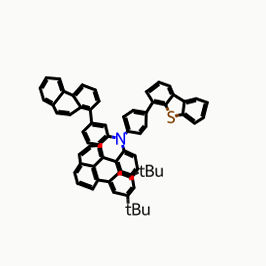 CC(C)(C)c1cc(-c2cccc3cccc(-c4ccccc4N(c4ccc(-c5cccc6c5sc5ccccc56)cc4)c4cccc(-c5cccc6c5ccc5ccccc56)c4)c23)cc(C(C)(C)C)c1